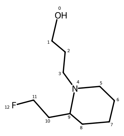 OCCCN1CCCCC1CCF